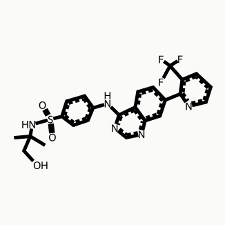 CC(C)(CO)NS(=O)(=O)c1ccc(Nc2ncnc3cc(-c4ncccc4C(F)(F)F)ccc23)cc1